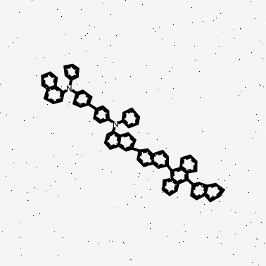 c1ccc(N(c2ccc(-c3ccc(N(c4ccccc4)c4cccc5cc(-c6ccc7cc(-c8c9ccccc9c(-c9ccc%10ccccc%10c9)c9ccccc89)ccc7c6)ccc45)cc3)cc2)c2cccc3ccccc23)cc1